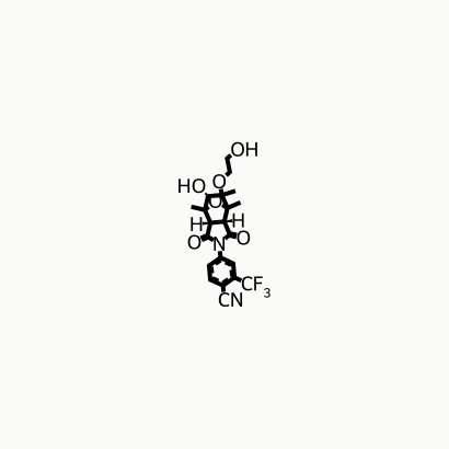 CC12OC(C)([C@@H]3C(=O)N(c4ccc(C#N)c(C(F)(F)F)c4)C(=O)[C@@H]31)C(C)(OCCO)[C@H]2O